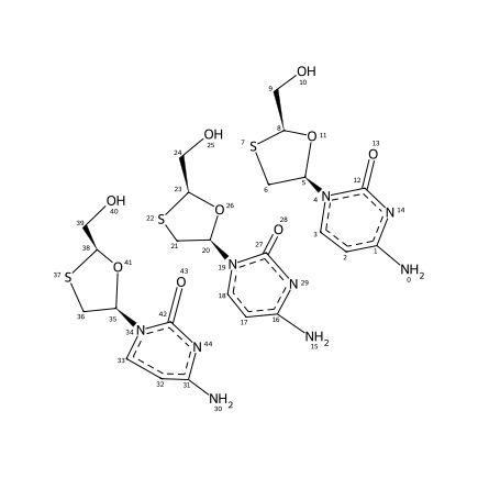 Nc1ccn([C@H]2CS[C@@H](CO)O2)c(=O)n1.Nc1ccn([C@H]2CS[C@@H](CO)O2)c(=O)n1.Nc1ccn([C@H]2CS[C@@H](CO)O2)c(=O)n1